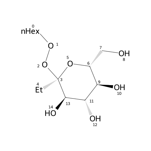 CCCCCCOO[C@@]1(CC)O[C@H](CO)[C@@H](O)[C@H](O)[C@H]1O